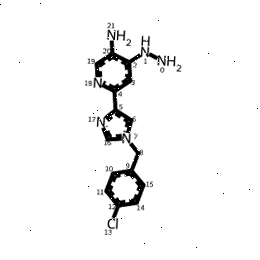 NNc1cc(-c2cn(Cc3ccc(Cl)cc3)cn2)ncc1N